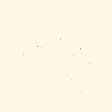 SCC(S)CSCC(S)CS.SCC1CSC(CS)CS1